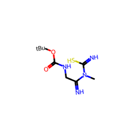 CN(C(=N)S)C(=N)CNC(=O)OC(C)(C)C